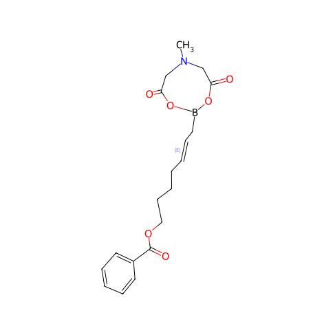 CN1CC(=O)OB(C/C=C/CCCCOC(=O)c2ccccc2)OC(=O)C1